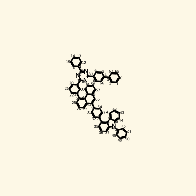 c1ccc(-c2ccc(-c3nc(-c4ccccc4)nc(-c4cccc(-c5cccc6c(-c7ccc(-c8cccc9c8c8ccccc8n9-c8ccccc8)cc7)cc7ccccc7c56)c4)n3)cc2)cc1